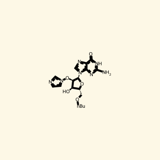 CCCCOC[C@H]1O[C@@H](n2cnc3c(=O)[nH]c(N)nc32)[C@H](On2ccnc2)[C@@H]1O